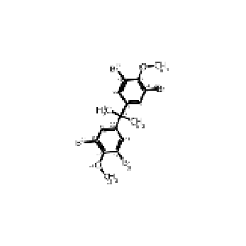 COc1c(Br)cc(C(C)(C)c2cc(Br)c(OC)c(Br)c2)cc1Br